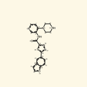 O=C(Nc1cnccc1N1CCNCC1)c1nnc(-c2ccc3occc3c2)s1